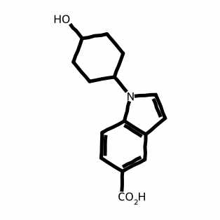 O=C(O)c1ccc2c(ccn2C2CCC(O)CC2)c1